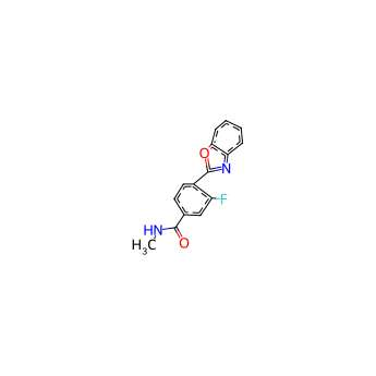 CNC(=O)c1ccc(-c2nc3ccccc3o2)c(F)c1